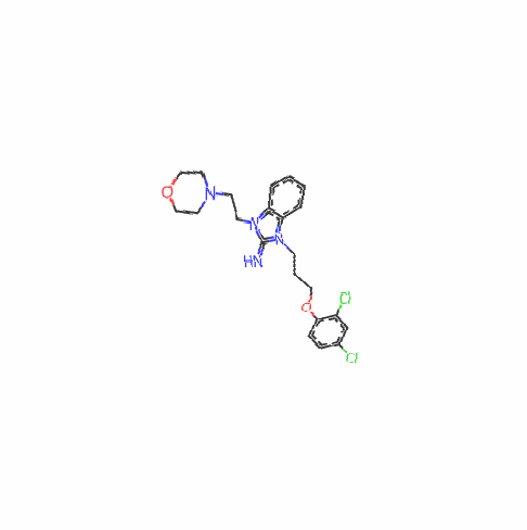 N=c1n(CCCOc2ccc(Cl)cc2Cl)c2ccccc2n1CCN1CCOCC1